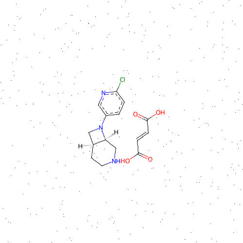 Clc1ccc(N2C[C@@H]3CCNC[C@@H]32)cn1.O=C(O)/C=C/C(=O)O